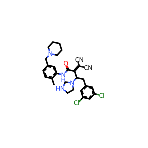 Cc1ccc(CN2CCCCC2)cc1NC(=O)C(=C(C#N)C#N)C(Cc1cc(Cl)cc(Cl)c1)N1CCNC1